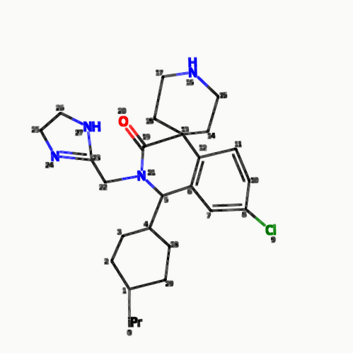 CC(C)C1CCC(C2c3cc(Cl)ccc3C3(CCNCC3)C(=O)N2CC2=NCCN2)CC1